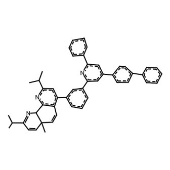 CC(C)C1=NC2c3nc(C(C)C)cc(-c4cccc(-c5cc(-c6ccc(-c7ccccc7)cc6)cc(-c6ccccc6)n5)c4)c3C=CC2(C)C=C1